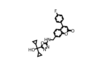 O=c1cc(-c2ccc(F)cc2)c2ccc(CNc3nnc(C(O)(C4CC4)C4CC4)o3)cc2o1